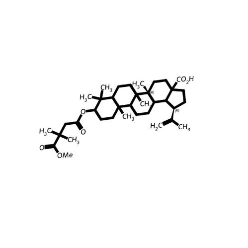 C=C(C)[C@@H]1CCC2(C(=O)O)CC[C@]3(C)C(CCC4C5(C)CCC(OC(=O)CC(C)(C)C(=O)OC)C(C)(C)C5CCC43C)C12